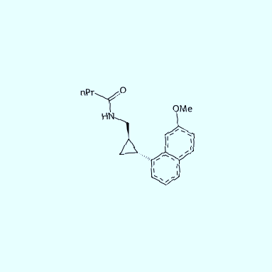 CCCC(=O)NC[C@@H]1C[C@H]1c1cccc2ccc(OC)cc12